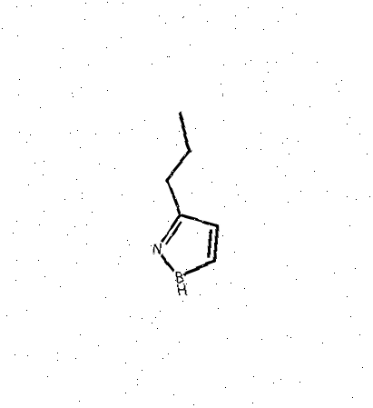 CCCC1=NBC=C1